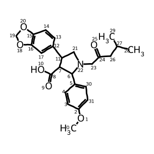 COc1ccc(C2C(C(=O)O)C(c3ccc4c(c3)OCO4)CN2CC(=O)CC(C)C)cc1